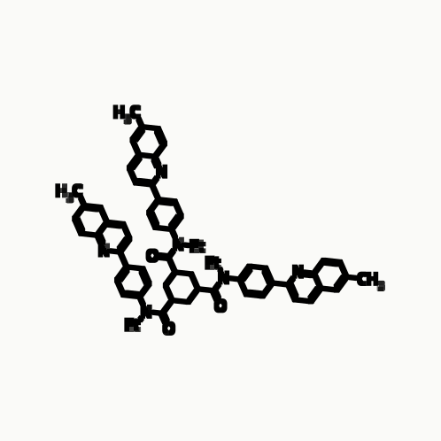 CCN(C(=O)C1CC(C(=O)N(CC)c2ccc(-c3ccc4cc(C)ccc4n3)cc2)CC(C(=O)N(CC)c2ccc(-c3ccc4cc(C)ccc4n3)cc2)C1)c1ccc(-c2ccc3cc(C)ccc3n2)cc1